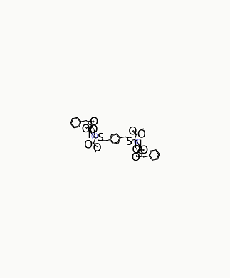 COC(=O)/C(=N/OS(=O)(=O)Cc1ccccc1)SCc1ccc(CS/C(=N\OS(=O)(=O)Cc2ccccc2)C(=O)OC)cc1